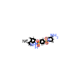 Cc1ccc(NS(=O)(=O)c2ccc(S(=O)(=O)N3CCCC(N)C3)cc2)c2[nH]cc(C#N)c12